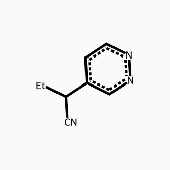 CCC(C#N)c1ccnnc1